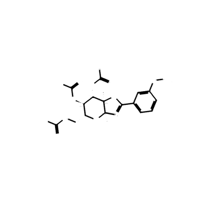 COc1cccc(C2=N[C@H]3O[C@H](COC(C)=O)[C@@H](OC(C)=O)[C@H](OC(C)=O)[C@H]3O2)c1